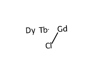 [Cl][Gd].[Dy].[Tb]